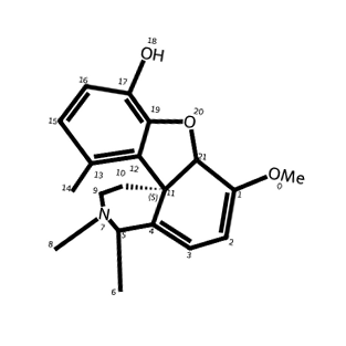 COC1=CC=C2C(C)N(C)CC[C@@]23c2c(C)ccc(O)c2OC13